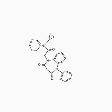 O=C1CC(=O)N(c2ccccc2)c2ccccc2N1CC(=O)N(c1ccccc1)C1CC1